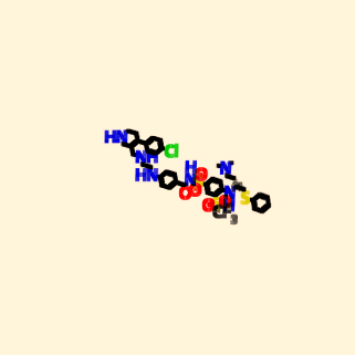 CN(C)CC[C@H](CSc1ccccc1)Nc1ccc(S(=O)(=O)NC(=O)c2ccc(NCCNCC3=C(c4ccc(Cl)cc4)CCNC3)cc2)cc1S(=O)(=O)C(F)(F)F